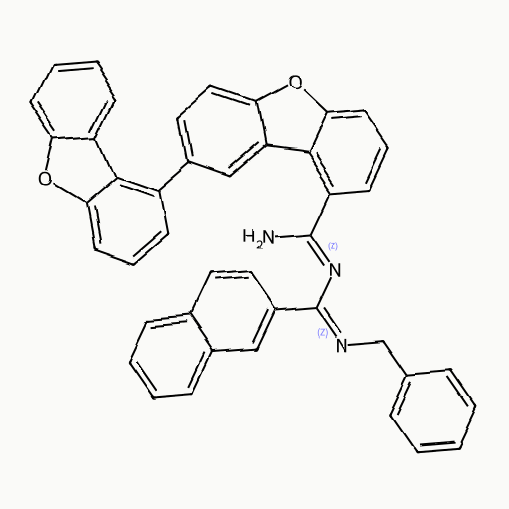 N/C(=N\C(=N/Cc1ccccc1)c1ccc2ccccc2c1)c1cccc2oc3ccc(-c4cccc5oc6ccccc6c45)cc3c12